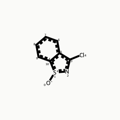 [O-][s+]1nc(Cl)c2ccccc21